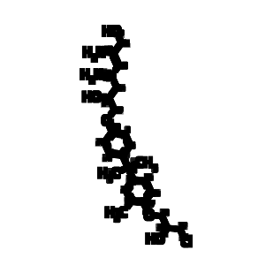 Cc1cc(C(C)(C)c2ccc(OCC(O)CN(N)/C=C(\N)CO)cc2)ccc1OCC(O)CCl